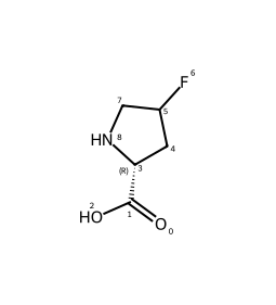 O=C(O)[C@H]1CC(F)CN1